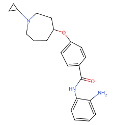 Nc1ccccc1NC(=O)c1ccc(OC2CCCN(C3CC3)CC2)cc1